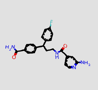 NC(=O)c1ccc(C(CCNC(=O)c2ccnc(N)c2)c2ccc(F)cc2)cc1